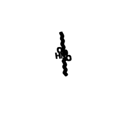 CCCCCCC(=O)NOC(=O)CCCCCC